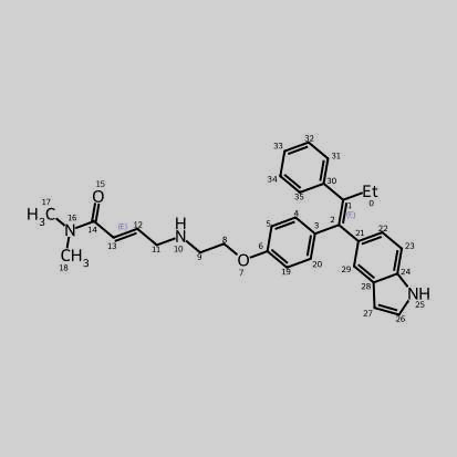 CC/C(=C(/c1ccc(OCCNC/C=C/C(=O)N(C)C)cc1)c1ccc2[nH]ccc2c1)c1ccccc1